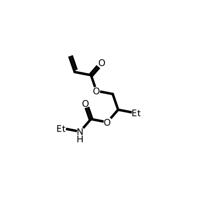 C=CC(=O)OCC(CC)OC(=O)NCC